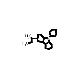 C=CC(=C)c1ccc2c(c1)c1ccccc1n2-c1ccccc1